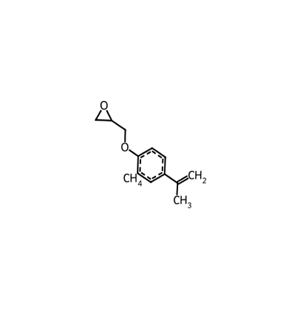 C.C=C(C)c1ccc(OCC2CO2)cc1